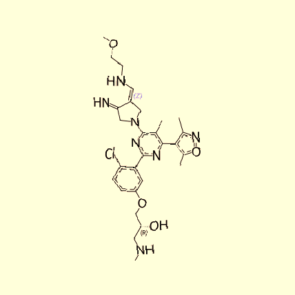 CNC[C@@H](O)COc1ccc(Cl)c(-c2nc(-c3c(C)noc3C)c(C)c(N3CC(=N)/C(=C\NCCOC)C3)n2)c1